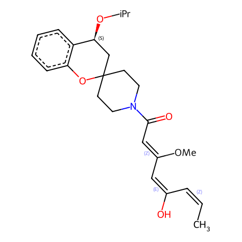 C\C=C/C(O)=C\C(=C\C(=O)N1CCC2(CC1)C[C@H](OC(C)C)c1ccccc1O2)OC